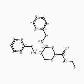 CCOC(=O)N1CC[C@H](NCc2ccccc2)[C@H](OCc2ccccc2)C1